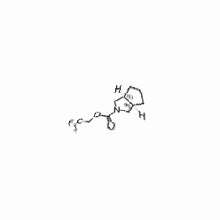 O=C(OCC(F)(F)F)N1C[C@H]2CCC[C@H]2C1